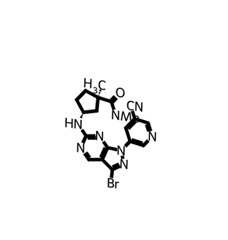 CNC(=O)[C@]1(C)CC[C@@H](Nc2ncc3c(Br)nn(-c4cncc(C#N)c4)c3n2)C1